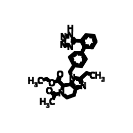 CCOC(=O)C1c2c(nc(CC)n2Cc2ccc(-c3ccccc3-c3nnn[nH]3)cc2)CCN1C(C)=O